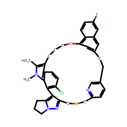 Cn1c(C(=O)O)c2c3ccc(Cl)c(c31)-c1c(nn3c1CCC3)CSCc1ccc(cn1)CCc1cc(c3ccc(F)cc3c1)OCCC2